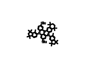 Cc1cc2c(cc1N1c3cc4c(cc3B3c5cc(C(C)(C)C)ccc5N(c5ccc6c(c5C)C(C)(C)CC6(C)C)c5cc(C(C)(C)C)cc1c53)C(C)(C)CCC4(C)C)C(C)(C)CC2(C)C